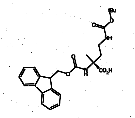 CC(C)(C)OC(=O)NCC[C@@](C)(NC(=O)OCC1c2ccccc2-c2ccccc21)C(=O)O